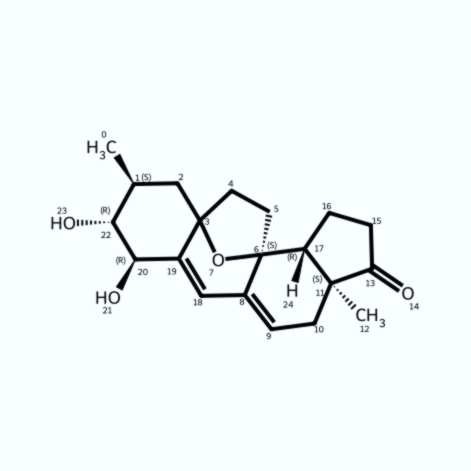 C[C@H]1CC23CC[C@@]4(O2)C(=CC[C@]2(C)C(=O)CC[C@H]24)C=C3[C@@H](O)[C@@H]1O